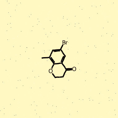 Cc1cc(Br)cc2c1OCCC2=O